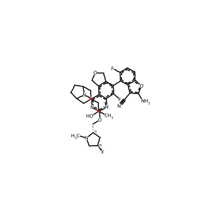 CC(O)CN1CC2CCC(C1)N2c1nc(OC[C@@H]2C[C@@H](F)CN2C)nc2c(F)c(-c3c(F)ccc4oc(N)c(C#N)c34)c3c(c12)COC3